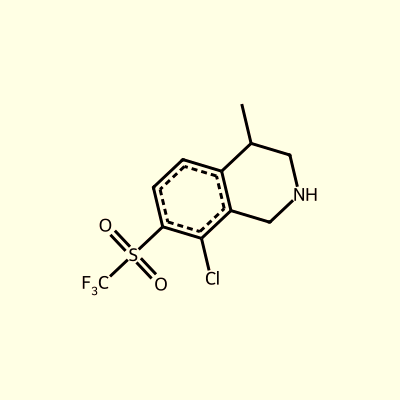 CC1CNCc2c1ccc(S(=O)(=O)C(F)(F)F)c2Cl